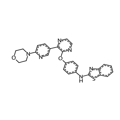 c1ccc2sc(Nc3ccc(Oc4nccnc4-c4ccc(N5CCOCC5)nc4)cc3)nc2c1